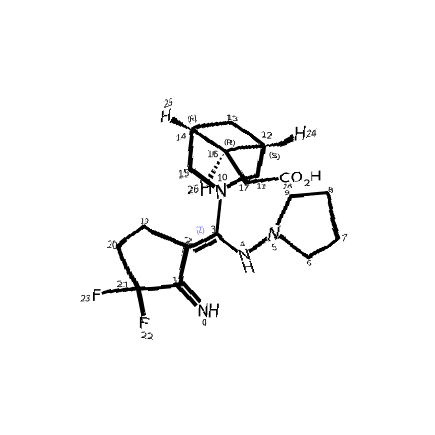 N=C1/C(=C(\NN2CCCC2)N2C[C@H]3C[C@@H](C2)[C@@H]3CC(=O)O)CCC1(F)F